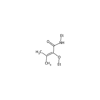 CCNC(=O)C(OCC)=C(C)C